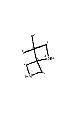 CC1(C)CNC12CNC2